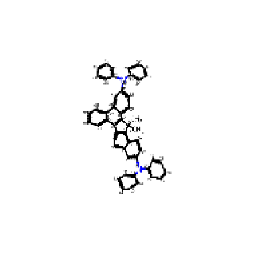 CC1(C)c2c(ccc3cc(N(c4ccccc4)c4ccccc4)ccc23)-c2c1c1ccc(N(c3ccccc3)c3ccccc3)cc1c1ccccc21